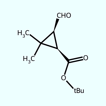 CC(C)(C)OC(=O)[C@@H]1[C@H](C=O)C1(C)C